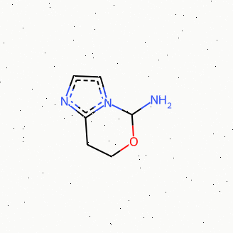 NC1OCCc2nccn21